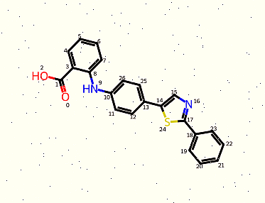 O=C(O)c1ccccc1Nc1ccc(-c2cnc(-c3ccccc3)s2)cc1